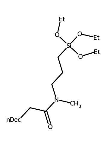 CCCCCCCCCCCC(=O)N(C)CCC[Si](OCC)(OCC)OCC